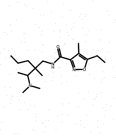 CCCC(C)(CNC(=O)c1noc(CC)c1C)C(C)N(C)C